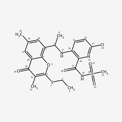 CCSc1oc2c(C(C)Nc3ccc(Cl)nc3C(=O)NS(C)(=O)=O)cc(C)cc2c(=O)c1C